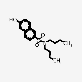 CCCCN(CCCC)S(=O)(=O)c1ccc2cc(O)ccc2c1